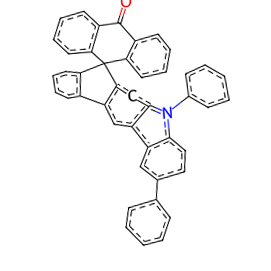 O=C1c2ccccc2C2(c3ccccc31)c1ccccc1-c1cc3c4cc(-c5ccccc5)ccc4n(-c4ccccc4)c3cc12